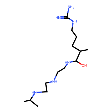 CC(C)NCCNCCNC(O)C(C)CCCNC(=N)N